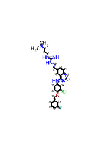 CN(C)CCCNC(=N)N/N=C/c1ccc2ncnc(Nc3ccc(OCc4cccc(F)c4)c(Cl)c3)c2c1